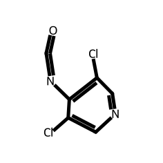 O=C=Nc1c(Cl)cncc1Cl